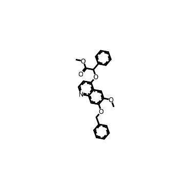 COC(=O)C(Oc1ccnc2cc(OCc3ccccc3)c(OC)cc12)c1ccccc1